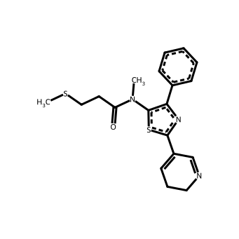 CSCCC(=O)N(C)c1sc(C2=CCCN=C2)nc1-c1ccccc1